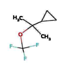 CC(C)(OC(F)(F)F)C1CC1